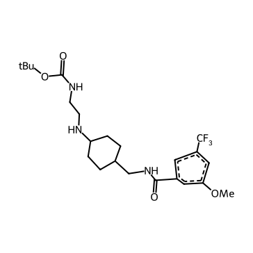 COc1cc(C(=O)NCC2CCC(NCCNC(=O)OC(C)(C)C)CC2)cc(C(F)(F)F)c1